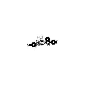 C[C@H]1CN(c2nnc(-c3ccc(F)cc3)c3ccccc23)CCN1C(=O)Nc1ccc(C#N)cc1F.Cl